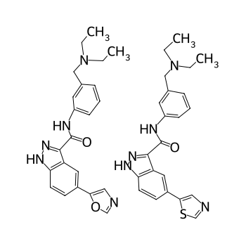 CCN(CC)Cc1cccc(NC(=O)c2n[nH]c3ccc(-c4cnco4)cc23)c1.CCN(CC)Cc1cccc(NC(=O)c2n[nH]c3ccc(-c4cncs4)cc23)c1